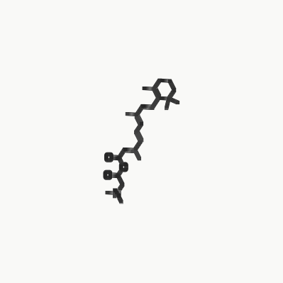 CC(C=CC1=C(C)CCCC1(C)C)=CC=CC(C)=CC(=O)OC(=O)CN(C)C